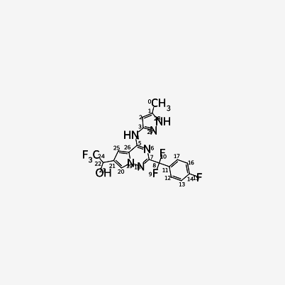 Cc1cc(Nc2nc(C(F)(F)c3ccc(F)cc3)nn3cc(C(O)C(F)(F)F)cc23)n[nH]1